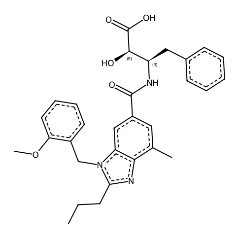 CCCc1nc2c(C)cc(C(=O)N[C@H](Cc3ccccc3)[C@@H](O)C(=O)O)cc2n1Cc1ccccc1OC